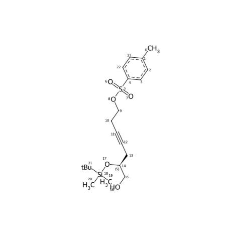 Cc1ccc(S(=O)(=O)OCCC#CC[C@@H](CO)O[Si](C)(C)C(C)(C)C)cc1